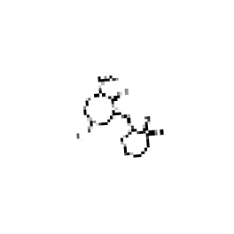 CNC1CCC(C)CN(CC2CCCCS2(=O)=O)C1=O